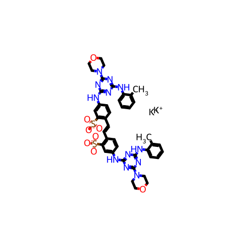 Cc1ccccc1Nc1nc(Nc2ccc(C=Cc3ccc(Nc4nc(Nc5ccccc5C)nc(N5CCOCC5)n4)cc3S(=O)(=O)[O-])c(S(=O)(=O)[O-])c2)nc(N2CCOCC2)n1.[K+].[K+]